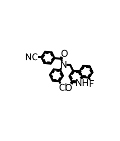 N#Cc1ccc(C(=O)N(Cc2cc(=O)[nH]c3c(F)cccc23)c2cccc(Cl)c2)cc1